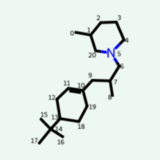 CC1CCCN(CC(C)CC2=CCC(C(C)(C)C)CC2)C1